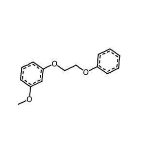 COc1cccc(OCCOc2ccccc2)c1